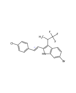 CC(c1c(/C=C/c2ccc(Cl)cc2)[nH]c2cc(Br)ccc12)C(F)(F)F